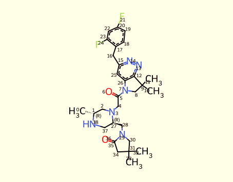 C[C@@H]1CN(CC(=O)N2CC(C)(C)c3nnc(Cc4ccc(F)cc4F)cc32)[C@@H](CN2CC(C)(C)CC2=O)CN1